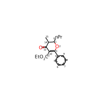 CCCC1OC(c2ccccc2)=C(C(=O)OCC)C(=O)C1C